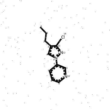 CCCc1cn(-c2cccnc2)nc1Cl